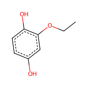 CCOc1cc(O)ccc1O